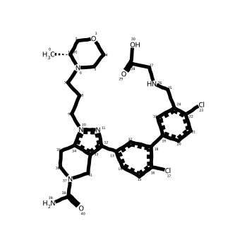 C[C@@H]1COCCN1CCCn1nc(-c2ccc(Cl)c(-c3ccc(Cl)c(CNCC(=O)O)c3)c2)c2c1CCN(C(N)=O)C2